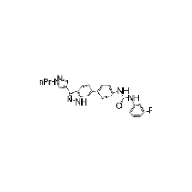 CCCn1cc(-c2n[nH]c3cc(-c4ccc(NC(=O)Nc5cccc(F)c5)cc4)ccc23)cn1